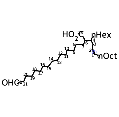 CCCCCCCC/C=C\CC(CCCCCC)C(CCCCCCCCCCCCCCCC=O)C(=O)O